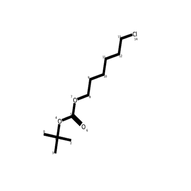 CC(C)(C)OC(=O)OCCCCCCCl